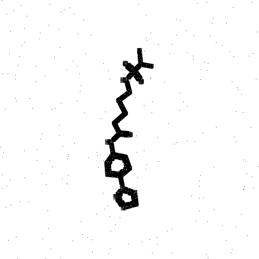 CC(C)S(=O)(=O)NCCCCC(=O)Nc1ccc(-n2ncnn2)cc1